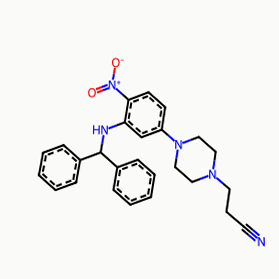 N#CCCN1CCN(c2ccc([N+](=O)[O-])c(NC(c3ccccc3)c3ccccc3)c2)CC1